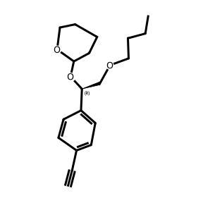 C#Cc1ccc([C@H](COCCCC)OC2CCCCO2)cc1